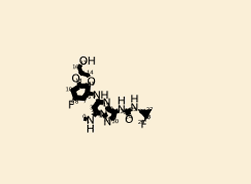 CNc1cc(Nc2cc(F)cc3c2OCC(CO)O3)nc2c(NC(=O)N[C@@H]3C[C@@H]3F)cnn12